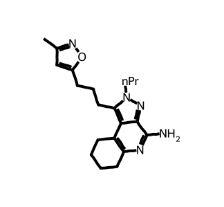 CCCn1nc2c(N)nc3c(c2c1CCCc1cc(C)no1)CCCC3